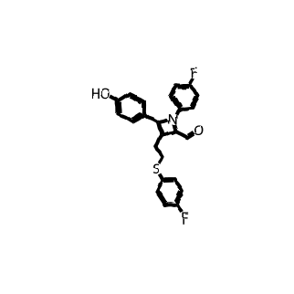 O=CC1C(CCSc2ccc(F)cc2)C(c2ccc(O)cc2)N1c1ccc(F)cc1